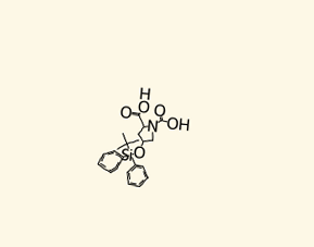 CC(C)(C)[Si](OC1CC(C(=O)O)N(C(=O)O)C1)(c1ccccc1)c1ccccc1